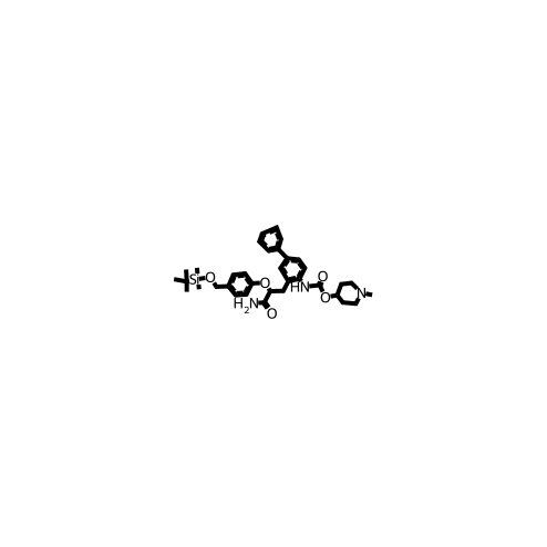 CN1CCC(OC(=O)Nc2ccc(-c3ccccc3)cc2CC(Oc2ccc(CO[Si](C)(C)C(C)(C)C)cc2)C(N)=O)CC1